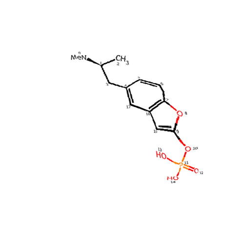 CN[C@@H](C)Cc1ccc2oc(OP(=O)(O)O)cc2c1